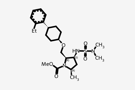 CCc1ccccc1[C@H]1CC[C@H](OC[C@H]2[C@@H](NS(=O)(=O)N(C)C)C[C@@H](C)N2C(=O)OC)CC1